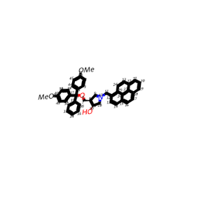 COc1ccc(C(OC[C@H]2CN(Cc3ccc4ccc5cccc6ccc3c4c56)C[C@@H]2O)(c2ccccc2)c2ccc(OC)cc2)cc1